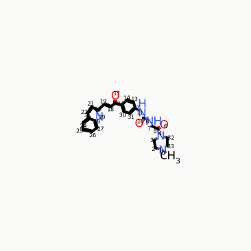 CN1CCN(C(=O)CNC(=O)Nc2ccc(C(=O)C=Cc3ccc4ccccc4n3)cc2)CC1